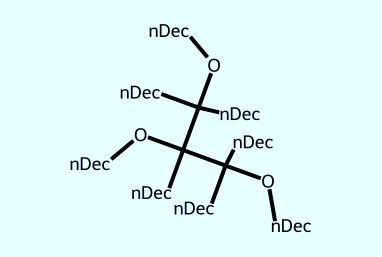 CCCCCCCCCCOC(CCCCCCCCCC)(CCCCCCCCCC)C(CCCCCCCCCC)(OCCCCCCCCCC)C(CCCCCCCCCC)(CCCCCCCCCC)OCCCCCCCCCC